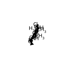 C[C@H]1C[C@@H](NC(=O)c2cc(C3CC3)on2)CCN1S(=O)(=O)c1ccc(C(C)(C)NC(=O)CCl)cc1